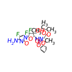 CC(C)OC(=O)[C@H](C)NP(=O)(OC[C@H]1O[C@@H](n2cc(F)c(N)nc2=O)C(F)(F)C1(C)CO)Oc1ccccc1